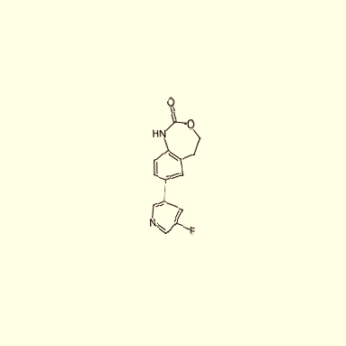 O=C1Nc2ccc(-c3cncc(F)c3)cc2CCO1